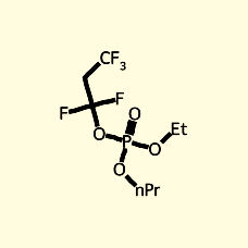 CCCOP(=O)(OCC)OC(F)(F)CC(F)(F)F